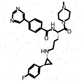 CN1CCN(C(=O)[C@H](CCCN[C@@H]2C[C@H]2c2ccc(F)cc2)NC(=O)c2ccc(-c3cncnc3)cc2)CC1